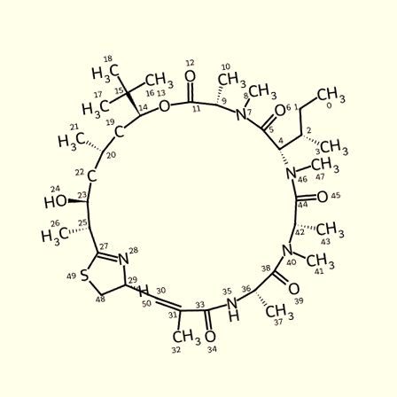 CC[C@H](C)[C@H]1C(=O)N(C)[C@@H](C)C(=O)O[C@H](C(C)(C)C)C[C@@H](C)C[C@H](O)[C@@H](C)C2=N[C@@H](/C=C(\C)C(=O)N[C@@H](C)C(=O)N(C)[C@@H](C)C(=O)N1C)CS2